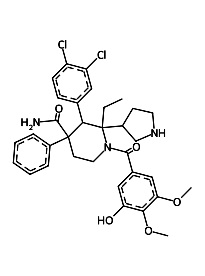 CCC1(C2CCNC2)C(c2ccc(Cl)c(Cl)c2)C(C(N)=O)(c2ccccc2)CCN1C(=O)c1cc(O)c(OC)c(OC)c1